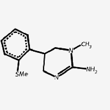 CSc1ccccc1C1CN=C(N)N(C)C1